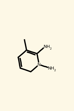 CC1=C(N)N(N)CC=C1